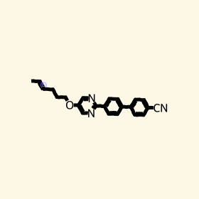 C/C=C/CCCOc1cnc(-c2ccc(-c3ccc(C#N)cc3)cc2)nc1